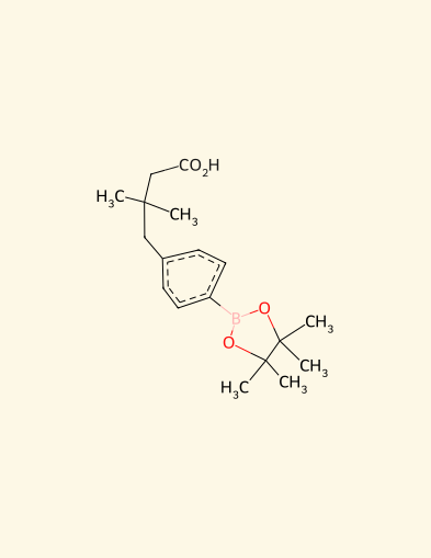 CC(C)(CC(=O)O)Cc1ccc(B2OC(C)(C)C(C)(C)O2)cc1